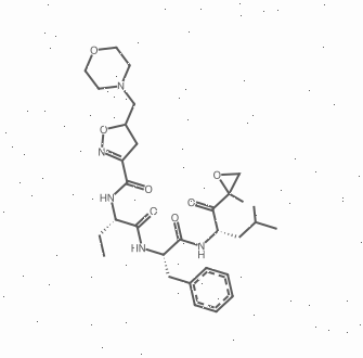 CC[C@H](NC(=O)C1=NOC(CN2CCOCC2)C1)C(=O)N[C@@H](Cc1ccccc1)C(=O)N[C@@H](CC(C)C)C(=O)C1(C)CO1